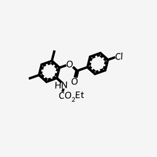 CCOC(=O)Nc1cc(C)cc(C)c1OC(=O)c1ccc(Cl)cc1